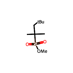 COS(=O)(=O)C(C)(C)CC(C)(C)C